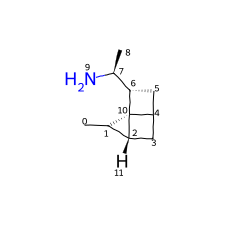 CC1[C@H]2CC3C[C@@H]([C@H](C)N)[C@]312